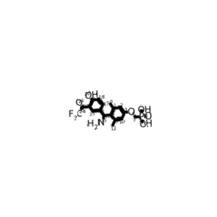 Cc1cc(OCP(=O)(O)O)cc(C)c1C(N)c1ccc(O)c(C(=O)C(F)(F)F)c1